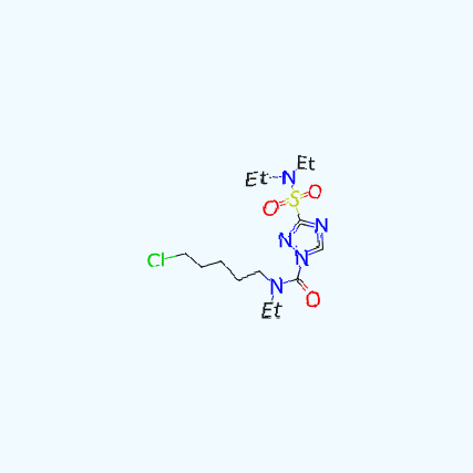 CCN(CCCCCCl)C(=O)n1cnc(S(=O)(=O)N(CC)CC)n1